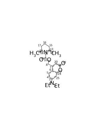 CCN(CC)c1ccc2c(COC(=O)N3[C@H](C)CCC[C@@H]3C)cc(=O)oc2c1